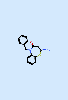 NC1CC(=O)N(Cc2ccccc2)c2ccccc2S1